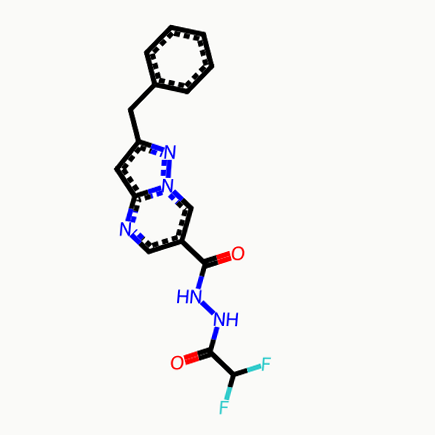 O=C(NNC(=O)C(F)F)c1cnc2cc(Cc3ccccc3)nn2c1